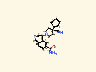 N#CC1(c2ccccc2)CCN(c2cncc3ccc(C(N)=O)cc23)CC1